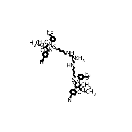 CCOC(=O)C1=C(C)N(c2cccc(C(F)(F)F)c2)C(SCCCCCNCCN(C)CCNCCCCCSC2=N[C@H](c3ccc(C#N)cc3)C(C(=O)OCC)=C(C)N2c2cccc(C(F)(F)F)c2)=N[C@@H]1c1ccc(C#N)cc1